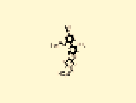 C#Cc1ccc(-c2nnc(N[C@@H]3CCCN(CC(=O)O)C3)cc2C)c(OCOCC)c1